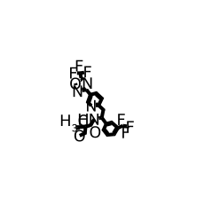 CC1(C(=O)NC(Cc2ccc(-c3noc(C(F)(F)F)n3)cn2)c2cccc(C(F)(F)F)c2)COC1